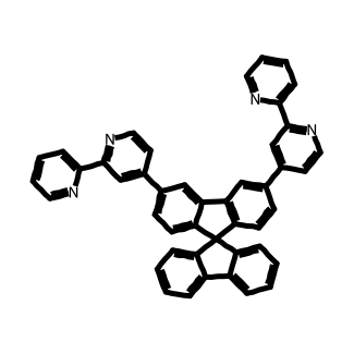 c1ccc(-c2cc(-c3ccc4c(c3)-c3cc(-c5ccnc(-c6ccccn6)c5)ccc3C43c4ccccc4-c4ccccc43)ccn2)nc1